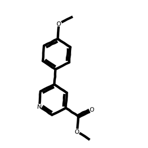 COC(=O)c1cncc(-c2ccc(OC)cc2)c1